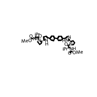 COC(=O)NC(C(=O)N1CCC[C@H]1c1ccc(-c2ccc(-c3ccc(-c4cnc([C@@H]5CCCN5C(=O)[C@@H](NC(=O)OC)C(C)C)[nH]4)cc3)cc2)[nH]1)C(C)C